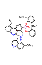 C=Cc1cccc2nc([C@@H](NCc3ccccc3P(=O)(Oc3ccccc3OC)Oc3ccccc3OC)c3ccnc4ccc(OC)cc34)ccc12